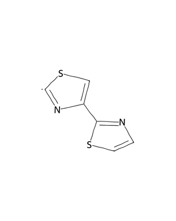 [c]1nc(-c2nccs2)cs1